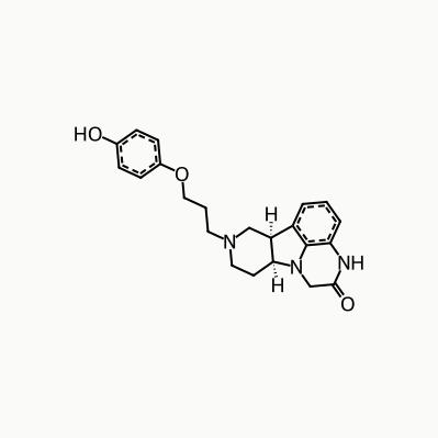 O=C1CN2c3c(cccc3[C@@H]3CN(CCCOc4ccc(O)cc4)CC[C@@H]32)N1